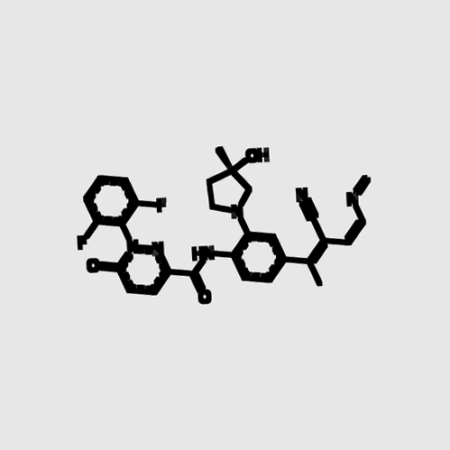 C=N/C=C\C(C#N)=C(/C)c1ccc(NC(=O)c2ccc(=O)n(-c3c(F)cccc3F)n2)c(N2CC[C@](C)(O)C2)c1